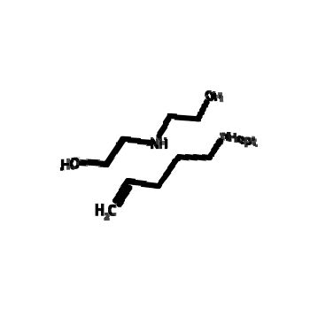 C=CCCCCCCCCCC.OCCNCCO